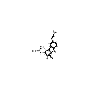 CCCC=Cc1ccc2sc3c(=O)[nH]c(CN(C)C)nc3c2c1